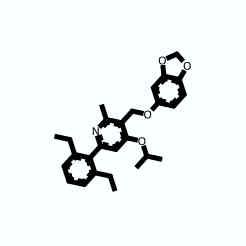 CCc1cccc(CC)c1-c1cc(OC(C)C)c(COc2ccc3c(c2)OCO3)c(C)n1